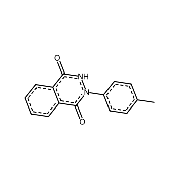 Cc1ccc(-n2[nH]c(=O)c3ccccc3c2=O)cc1